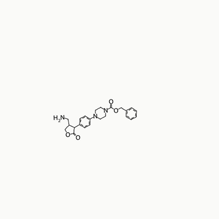 NCC1COC(=O)C1c1ccc(N2CCN(C(=O)OCc3ccccc3)CC2)cc1